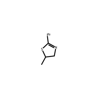 CC1CN=C(C(C)C)S1